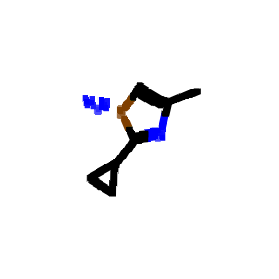 Cc1csc(C2CC2)n1.N